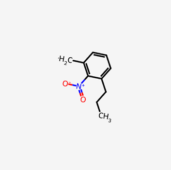 [CH2]c1cccc(CCC)c1[N+](=O)[O-]